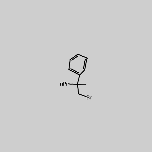 CCCC(C)(CBr)c1cc[c]cc1